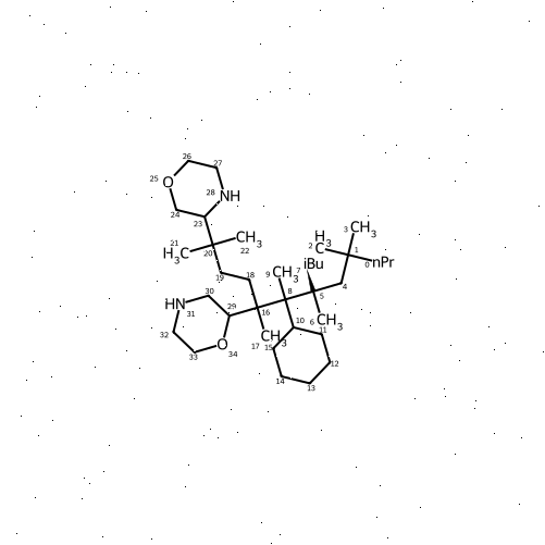 CCCC(C)(C)CC(C)([C@H](C)CC)C(C)(C1CCCCC1)C(C)(CCC(C)(C)C1COCCN1)C1CNCCO1